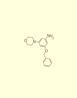 Nc1cc(OCc2ccccc2)cc(N2CCOCC2)c1